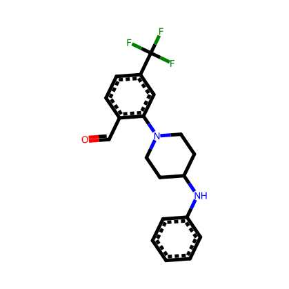 O=Cc1ccc(C(F)(F)F)cc1N1CCC(Nc2ccccc2)CC1